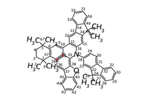 CC1(C)CCC(C)(C)c2cc(-c3cc4c(cc3N(c3ccc5c(c3)C(C)(C)c3ccccc3-5)c3cccc5c3oc3ccccc35)C(C)(C)c3ccccc3-4)ccc21